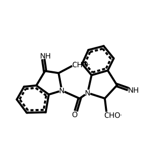 N=C1c2ccccc2N(C(=O)N2c3ccccc3C(=N)C2[C]=O)C1[C]=O